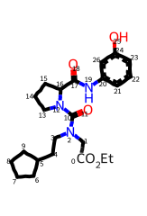 CCOC(=O)CN(CCC1CCCC1)C(=O)N1CCCC1C(=O)Nc1cccc(O)c1